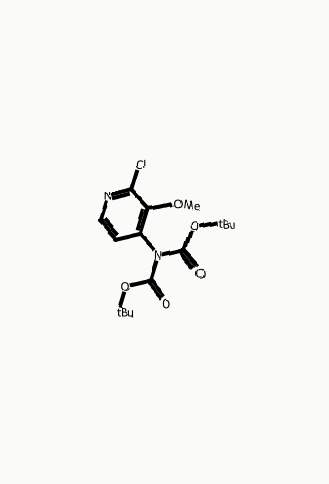 COc1c(N(C(=O)OC(C)(C)C)C(=O)OC(C)(C)C)ccnc1Cl